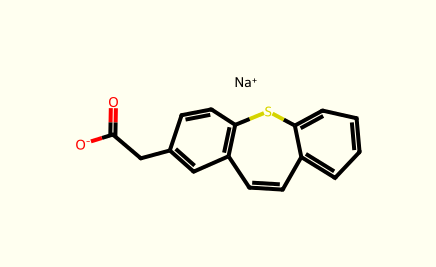 O=C([O-])Cc1ccc2c(c1)C=Cc1ccccc1S2.[Na+]